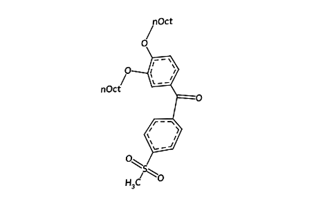 CCCCCCCCOc1ccc(C(=O)c2ccc(S(C)(=O)=O)cc2)cc1OCCCCCCCC